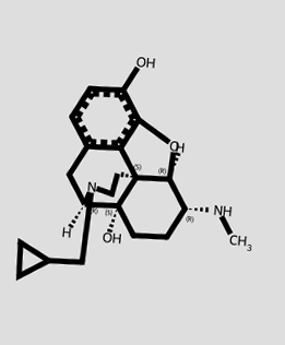 CN[C@@H]1CC[C@@]2(O)[C@H]3Cc4ccc(O)c5c4[C@@]2(CCN3CC2CC2)[C@H]1O5